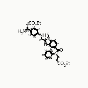 CCOC(=O)CCN(C(=O)c1ccc2c(c1)nc(CNc1ccc(/C(N)=N\C(=O)OCC)cc1)n2C)c1ccccn1